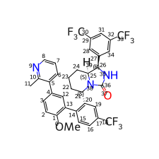 COc1ccc(-c2cccnc2C)cc1-c1ccc(C(F)(F)F)cc1[C@@H]1CCC[C@H]2[C@@H](c3cc(C(F)(F)F)cc(C(F)(F)F)c3)NC(=O)N12